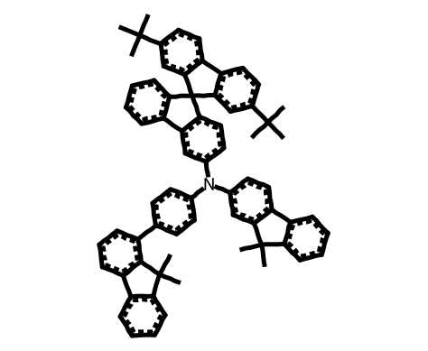 CC(C)(C)c1ccc2c(c1)C1(c3ccccc3-c3cc(N(c4ccc(-c5cccc6c5C(C)(C)c5ccccc5-6)cc4)c4ccc5c(c4)C(C)(C)c4ccccc4-5)ccc31)c1cc(C(C)(C)C)ccc1-2